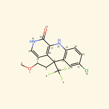 COCCC1(C(F)(F)F)c2cc(Cl)ccc2Nc2c1cc[nH]c2=O